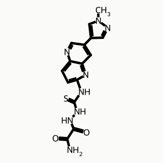 Cn1cc(-c2cnc3ccc(NC(=S)NNC(=O)C(N)=O)nc3c2)cn1